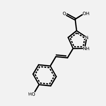 O=C(O)c1cc(C=Cc2ccc(O)cc2)[nH]n1